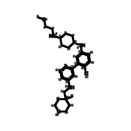 COCCN[C@H]1CC[C@H](Nc2cc(-c3cncc(NCC4(C)CCOCC4)c3)c(Cl)cn2)CC1